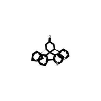 O=C1C[C@@H](c2cccnc2)C2(c3ccccc3-c3nccnc32)[C@H](c2cccnc2)C1